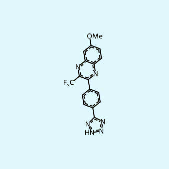 COc1ccc2nc(-c3ccc(-c4nn[nH]n4)cc3)c(C(F)(F)F)nc2c1